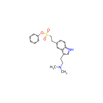 CN(C)CCc1c[nH]c2ccc(CCS(=O)(=O)Oc3ccccc3)cc12